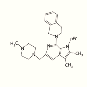 CCCn1c(C)c(C)c2cc(CN3CCN(C)CC3)nc(N3CCc4ccccc4C3)c21